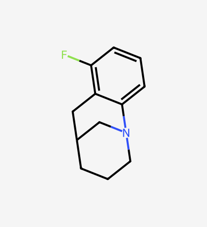 Fc1cccc2c1CC1CCCN2C1